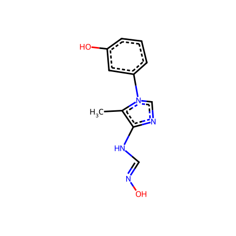 Cc1c(NC=NO)ncn1-c1cccc(O)c1